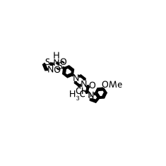 COc1ccc2ccn(C(C)C(=O)N3CCN(c4ccc(S(=O)(=O)Nc5nccs5)cc4)CC3C)c2c1